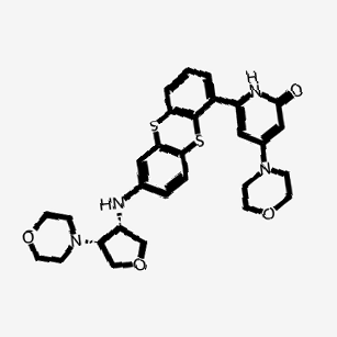 O=c1cc(N2CCOCC2)cc(-c2cccc3c2Sc2ccc(N[C@@H]4COC[C@@H]4N4CCOCC4)cc2S3)[nH]1